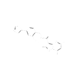 Cc1cc(C)n2nc(C)c(C(=O)NCc3ccc(-c4cnco4)cc3C)c2n1